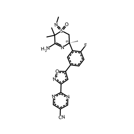 CN=S1(=O)C[C@@](C)(c2cc(-c3cc(-c4ncc(C#N)cn4)no3)ccc2F)N=C(N)C1(C)C